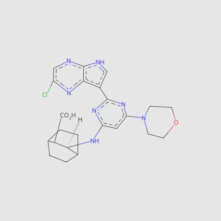 O=C(O)C1C2CCC(CC2)[C@@H]1Nc1cc(N2CCOCC2)nc(-c2c[nH]c3ncc(Cl)nc23)n1